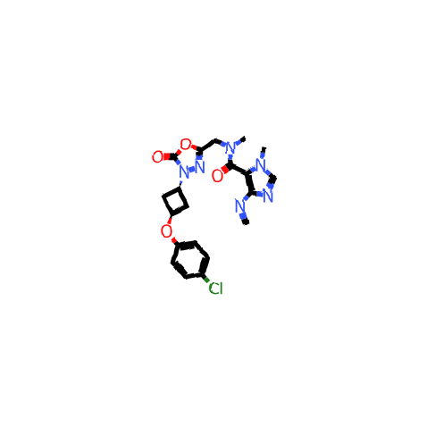 C=Nc1ncn(C)c1C(=O)N(C)Cc1nn([C@H]2C[C@H](Oc3ccc(Cl)cc3)C2)c(=O)o1